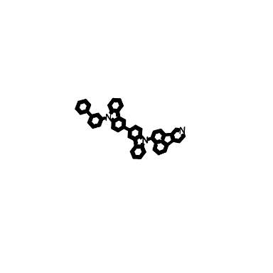 c1ccc(-c2cccc(-n3c4ccccc4c4cc(-c5ccc6c(c5)c5ccccc5n6-c5ccc6c7c(cccc57)-c5ccncc5-6)ccc43)c2)cc1